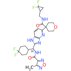 Cc1nonc1C(=O)N[C@H](c1nc2nc(C3(C(=O)NCC4CC4(F)F)CCOCC3)ccc2[nH]1)C1CCC(F)(F)CC1